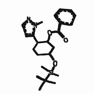 Cn1nccc1C1CCC(O[Si](C)(C)C(C)(C)C)CC1OC(=O)c1ccccc1